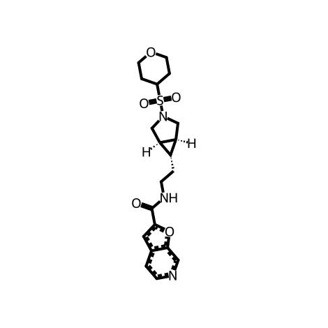 O=C(NCC[C@@H]1[C@H]2CN(S(=O)(=O)C3CCOCC3)C[C@@H]12)c1cc2ccncc2o1